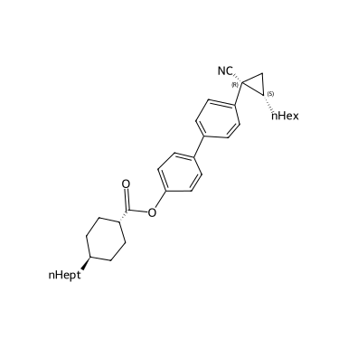 CCCCCCC[C@H]1CC[C@H](C(=O)Oc2ccc(-c3ccc([C@@]4(C#N)C[C@@H]4CCCCCC)cc3)cc2)CC1